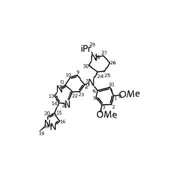 COc1cc(OC)cc(N(c2ccc3ncc(-c4cnn(C)c4)nc3c2)C2CCCN(C(C)C)C2)c1